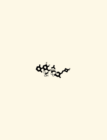 Cc1cc(=O)n([C@@H](CC(C)C)C(=O)N[C@@H](CC(=O)O)c2c(F)c(F)cc(-c3c(C)cccc3C)c2F)cc1CCC1CC(F)C1